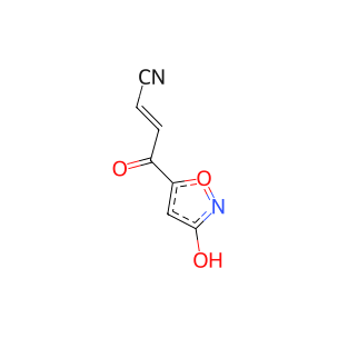 N#CC=CC(=O)c1cc(O)no1